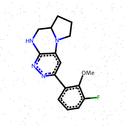 COc1c(F)cccc1-c1cc2c(nn1)NCC1CCCN21